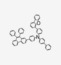 c1ccc(-c2ccc(N(c3ccc(-c4ccc5c(c4)c(-c4ccccc4)c(-c4ccccc4)c4ccccc45)cc3)c3cccc(-c4cccc5c4oc4ccccc45)c3)cc2)cc1